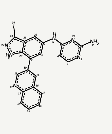 Nc1nccc(Nc2cc(-c3cnc4ccccc4c3)c3[nH]nc(I)c3c2)n1